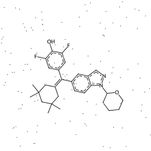 CC1(C)CC(=C(c2cc(F)c(O)c(F)c2)c2ccc3c(cnn3C3CCCCO3)c2)CC(C)(C)C1